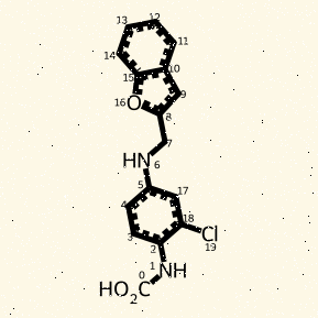 O=C(O)Nc1ccc(NCc2cc3ccccc3o2)cc1Cl